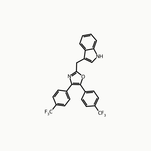 FC(F)(F)c1ccc(-c2nc(Cc3c[nH]c4ccccc34)oc2-c2ccc(C(F)(F)F)cc2)cc1